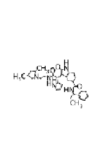 CC[C@@H](NC(=O)c1ccc2c(c1)/C(=C(/C(=O)NCCN1CC(C)CC1C)c1ccc[nH]1)C(=O)N2)c1ccccc1